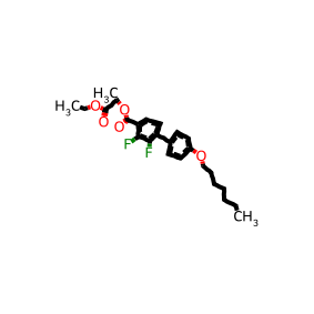 CCCCCCCOc1ccc(-c2ccc(C(=O)OC(C)C(=O)OCC)c(F)c2F)cc1